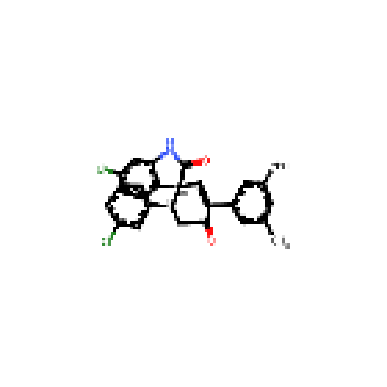 Cc1cc(C2=C[C@@]3(C(=O)Nc4cc(Cl)ccc43)[C@H](c3cccc(Cl)c3)CC2=O)cc(C(C)(C)C)c1